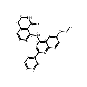 CCOc1ccc2nc(-c3cccnc3)nc(Nc3cccc4c3C(=O)NCC4)c2c1